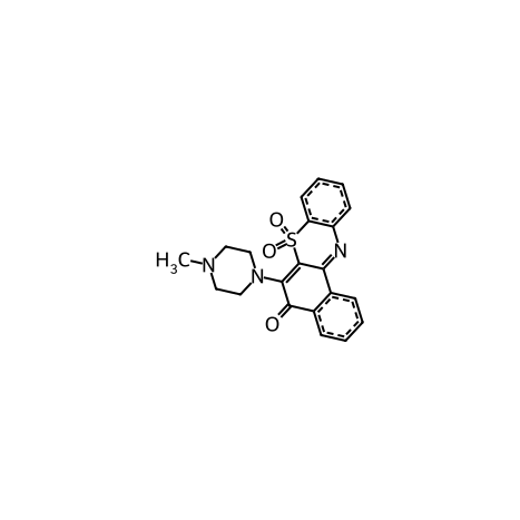 CN1CCN(C2=C3C(=Nc4ccccc4S3(=O)=O)c3ccccc3C2=O)CC1